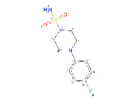 NS(=O)(=O)N1CCN(c2ccc(F)cc2)CC1